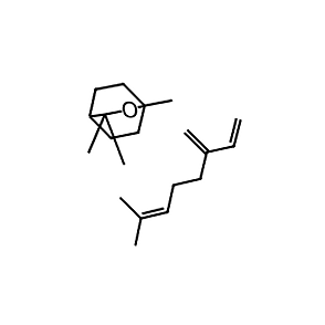 C=CC(=C)CCC=C(C)C.CC12CCC(CC1)C(C)(C)O2